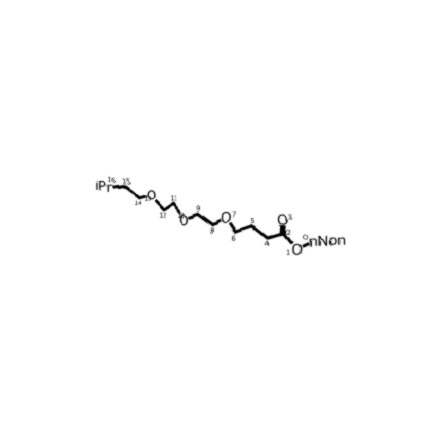 CCCCCCCCCOC(=O)CCCOCCOCCOCCC(C)C